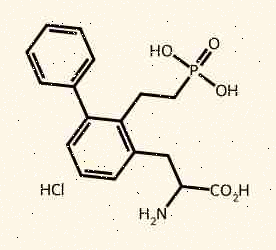 Cl.NC(Cc1cccc(-c2ccccc2)c1CCP(=O)(O)O)C(=O)O